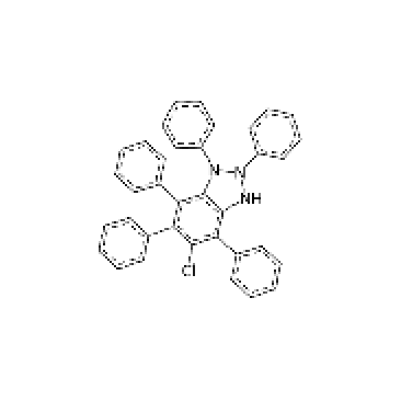 Clc1c(-c2ccccc2)c2c(c(-c3ccccc3)c1-c1ccccc1)N(c1ccccc1)N(c1ccccc1)N2